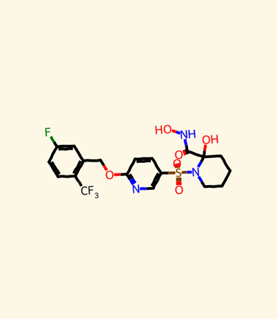 O=C(NO)C1(O)CCCCN1S(=O)(=O)c1ccc(OCc2cc(F)ccc2C(F)(F)F)nc1